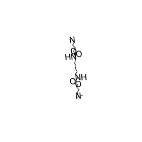 CN(C)CCCOC(=O)NCCCCCCNC(=O)OCCCN(C)C